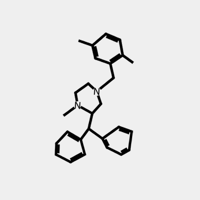 Cc1ccc(C)c(CN2CCN(C)C(C(c3ccccc3)c3ccccc3)C2)c1